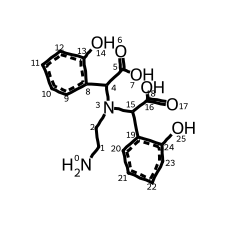 NCCN(C(C(=O)O)c1ccccc1O)C(C(=O)O)c1ccccc1O